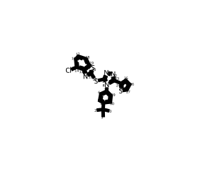 CC(C)(C)c1ccc(-n2c(Sc3nc4c(Cl)cccc4s3)nnc2-c2cccs2)cc1